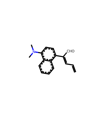 C=CC=C(C=O)c1ccc(N(C)C)c2ccccc12